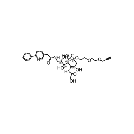 C#CCOCCOCCO[C@]1(C(=O)O)C[C@H](O)[C@@H](NC(=O)CO)[C@H]([C@H](O)[C@H](O)CNC(=O)Cc2ccc(-c3ccccc3)nc2)O1